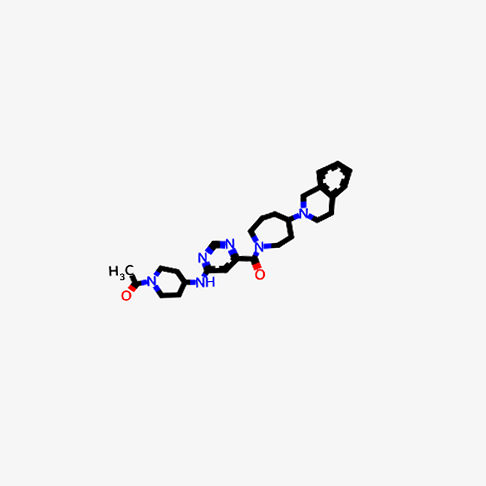 CC(=O)N1CCC(Nc2cc(C(=O)N3CCCC(N4CCc5ccccc5C4)CC3)ncn2)CC1